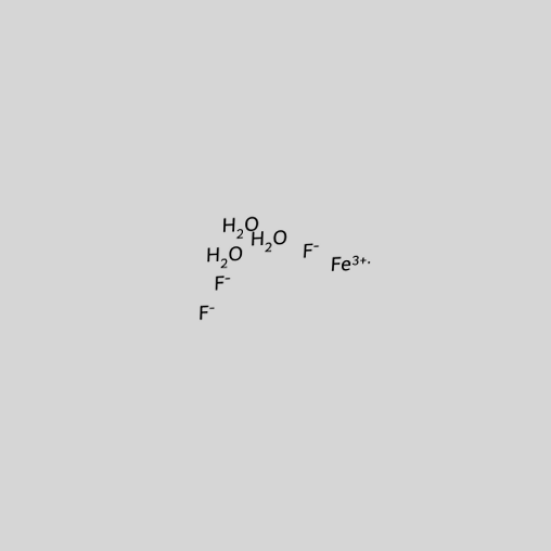 O.O.O.[F-].[F-].[F-].[Fe+3]